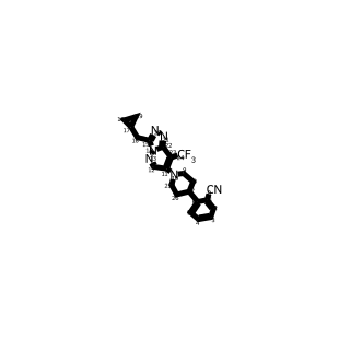 N#Cc1ccccc1C1CCN(c2cnn3c(CC4CC4)nnc3c2C(F)(F)F)CC1